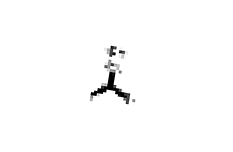 CCC(C)I.[Rh]